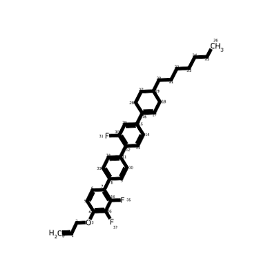 C=CCOc1ccc(-c2ccc(-c3ccc(C4=CCC(CCCCCCC)CC4)cc3F)cc2)c(F)c1F